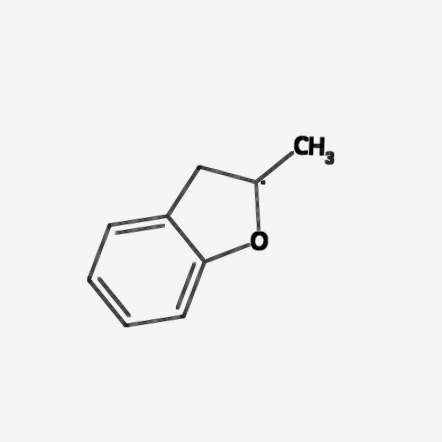 C[C]1Cc2ccccc2O1